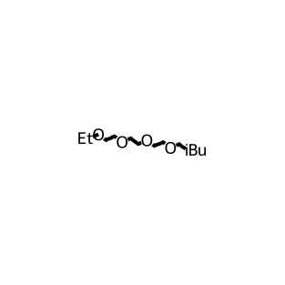 CCOCCOCCOCCOCC(C)CC